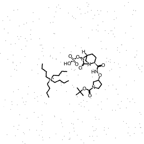 CC(C)(C)OC(=O)N1CC[C@H](ONC(=O)[C@@H]2CC[C@@H]3CN2C(=O)N3OS(=O)(=O)O)C1.CCCC[N+](CCCC)(CCCC)CCCC